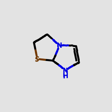 C1=CN2CCSC2N1